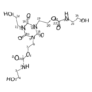 O=C(NCCO)OCCn1c(=O)n(CCO)c(=O)n(CCOC(=O)NCCO)c1=O